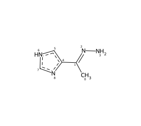 CC(=NN)c1c[nH]cn1